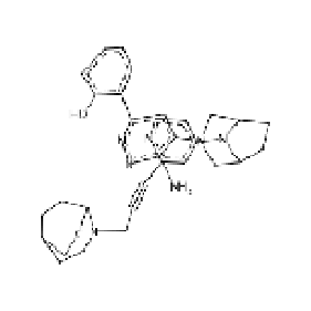 Nc1nnc(-c2ccccc2O)cc1N1CC2CCC(C1)N2c1ccnc(C#CCN2CCC3CCC2CC3)c1